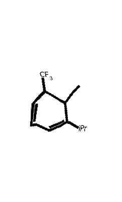 CC(C)C1=CC=CC(C(F)(F)F)C1C